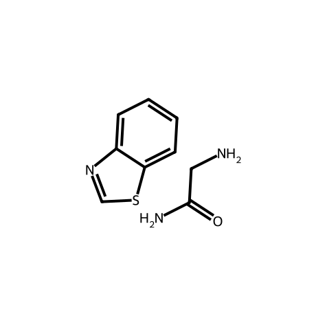 NCC(N)=O.c1ccc2scnc2c1